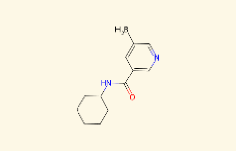 Bc1cncc(C(=O)NC2CCCCC2)c1